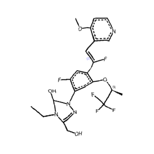 CCN1C(CO)=NN(c2cc(O[C@@H](C)C(F)(F)F)c(/C(F)=C/c3cnccc3OC)cc2F)C1O